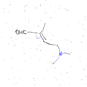 C/C([C]=O)=C\CN(C)C